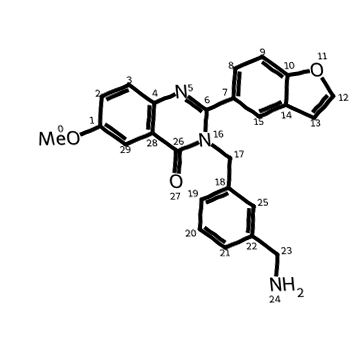 COc1ccc2nc(-c3ccc4occc4c3)n(Cc3cccc(CN)c3)c(=O)c2c1